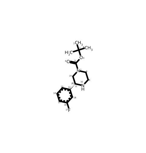 CC(C)(C)OC(=O)N1CCN[C@H](c2cccc(F)c2)C1